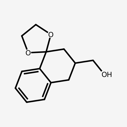 OCC1Cc2ccccc2C2(C1)OCCO2